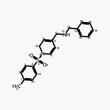 Cc1ccc(S(=O)(=O)N2C=CC(CNCc3ccccc3)=CC2)cc1